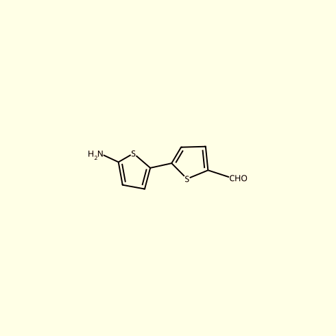 Nc1ccc(-c2ccc(C=O)s2)s1